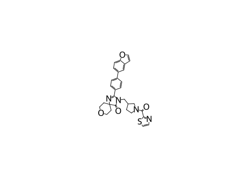 O=C(c1nccs1)N1CCC(CN2C(=O)C3(CCOCC3)N=C2c2ccc(-c3ccc4occc4c3)cc2)C1